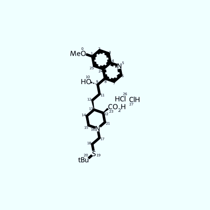 COc1ccc2nccc([C@@H](O)CC[C@@H]3CCN(CCSC(C)(C)C)C[C@@H]3C(=O)O)c2c1.Cl.Cl